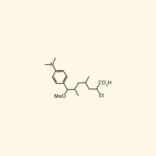 CCC(CC(C)CC(C)C(OC)c1ccc(N(C)C)cc1)C(=O)O